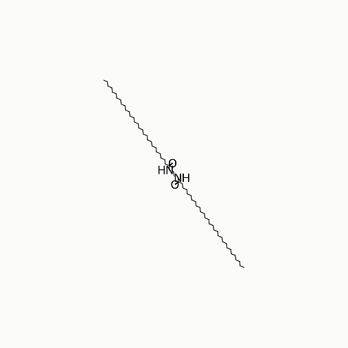 CCCCCCCCCCCCCCCCCCCCCCCCCCCCCC(=O)NCCNC(=O)CCCCCCCCCCCCCCCCCCCCCCCCCCCCC